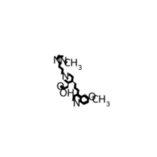 COc1ccc2nccc(CCC[C@@H]3CCN(CCCc4nccn4C)C[C@@H]3CC(=O)O)c2c1